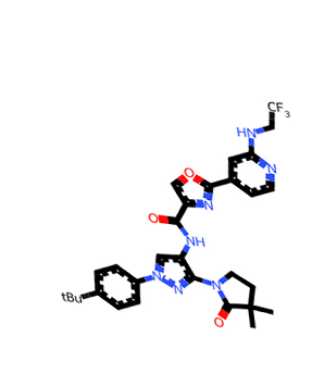 CC1(C)CCN(c2nn(-c3ccc(C(C)(C)C)cc3)cc2NC(=O)c2coc(-c3ccnc(NCC(F)(F)F)c3)n2)C1=O